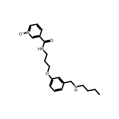 CCCCNCc1cccc(OCCCNC(=O)c2ccc[n+]([O-])c2)c1